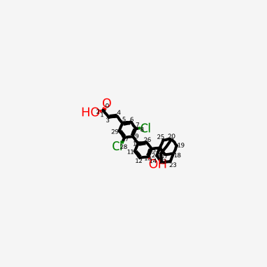 O=C(O)/C=C/c1cc(Cl)c(-c2ccc(O)c(C34CC5CC(CC(C5)C3)C4)c2)c(Cl)c1